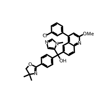 COc1cc(-c2cccc(Cl)c2)c2cc(C(O)(c3ccc(C4=NC(C)(C)CO4)cc3)c3cncn3C)ccc2n1